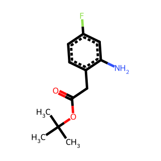 CC(C)(C)OC(=O)Cc1ccc(F)cc1N